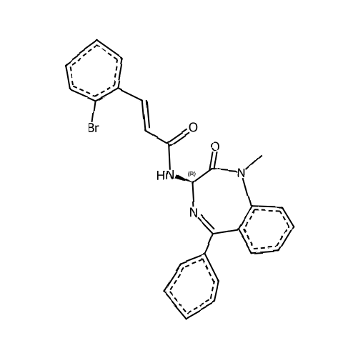 CN1C(=O)[C@H](NC(=O)C=Cc2ccccc2Br)N=C(c2ccccc2)c2ccccc21